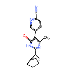 Cc1nc(C2CC3CCC2C3)[nH]c(=O)c1-c1ccc(C#N)nc1